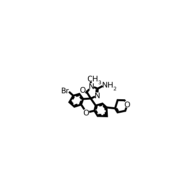 CN1C(=O)C2(N=C1N)c1cc(Br)ccc1Oc1ccc(C3=CCOCC3)cc12